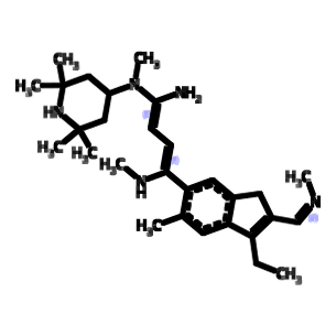 CCC1=C(/C=N\C)Cc2cc(/C(=C/C=C(\N)N(C)C3CC(C)(C)NC(C)(C)C3)NC)c(C)cc21